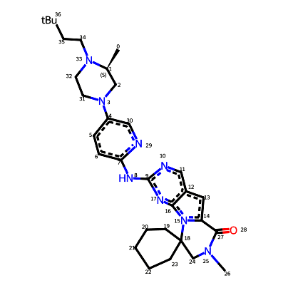 C[C@H]1CN(c2ccc(Nc3ncc4cc5n(c4n3)C3(CCCCC3)CN(C)C5=O)nc2)CCN1CCC(C)(C)C